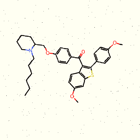 CCCCCCN1CCCCC1COc1ccc(C(=O)c2c(-c3ccc(OC)cc3)sc3cc(OC)ccc23)cc1